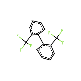 FC(F)(F)c1c[c]ccc1-c1cc[c]cc1C(F)(F)F